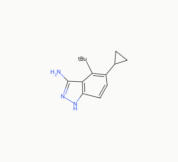 CC(C)(C)c1c(C2CC2)ccc2[nH]nc(N)c12